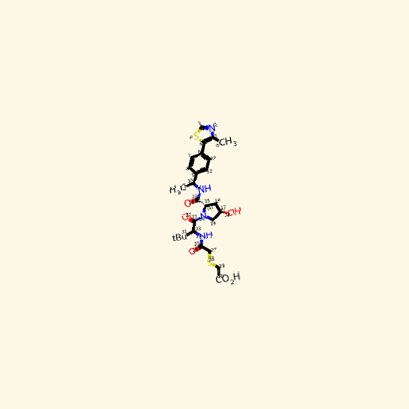 Cc1ncsc1-c1ccc(C(C)NC(=O)[C@@H]2C[C@@H](O)CN2C(=O)C(NC(=O)CSCC(=O)O)C(C)(C)C)cc1